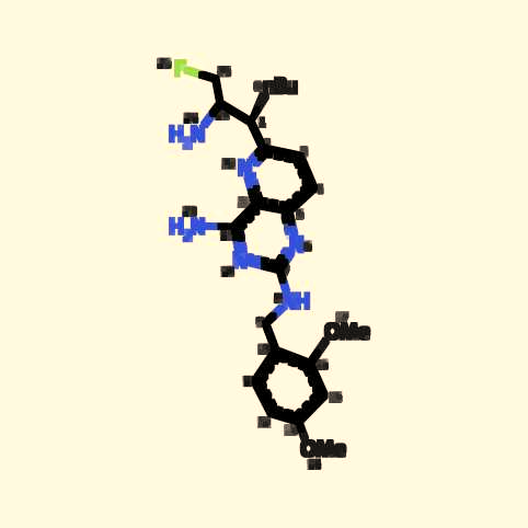 CCCC[C@@H](c1ccc2nc(NCc3ccc(OC)cc3OC)nc(N)c2n1)C(N)CF